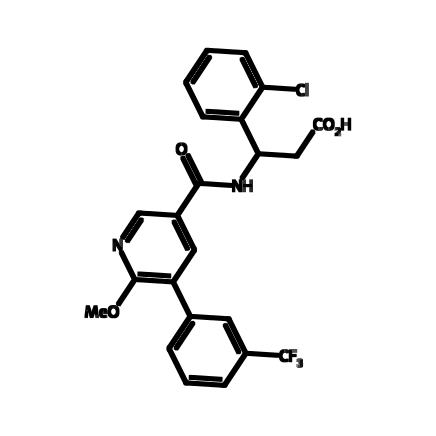 COc1ncc(C(=O)NC(CC(=O)O)c2ccccc2Cl)cc1-c1cccc(C(F)(F)F)c1